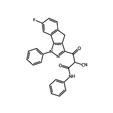 N#CC(C(=O)Nc1ccccc1)C(=O)c1nn(-c2ccccc2)c2c1Cc1ccc(F)cc1-2